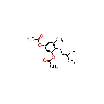 CC(=O)Oc1cc(C)c(CC=C(C)C)c(OC(C)=O)c1